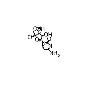 CC[C@]1(CO)O[C@@H](n2ccc(N)nc2=O)[C@H](O)[C@@H]1O